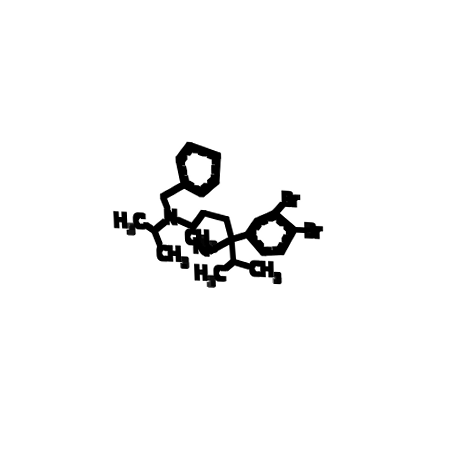 CC(C)N(Cc1ccccc1)C(C)CCC(C#N)(c1ccc(Br)c(Br)c1)C(C)C